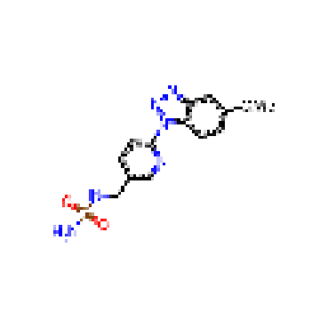 COc1ccc2c(c1)nnn2-c1ccc(CNS(N)(=O)=O)cn1